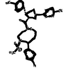 CS(=O)(=O)N1CCN(C(=O)[C@@H]2CN(c3ccc(C#N)nn3)C[C@H]2c2ccc(C#N)cc2)CCCC1c1ccc(Cl)cc1